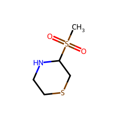 CS(=O)(=O)C1CSCCN1